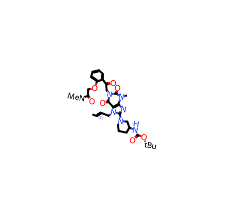 C/C=C/Cn1c(N2CCCC(NC(=O)OC(C)(C)C)C2)nc2c1c(=O)n(CC(=O)c1ccccc1OCC(=O)NC)c(=O)n2C